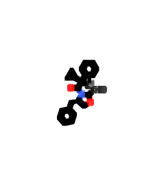 CC(C(=O)N1C(C=O)OC[C@H]1Cc1ccccc1)(c1ccccc1)C1CC1